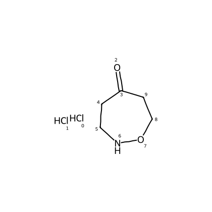 Cl.Cl.O=C1CCNOCC1